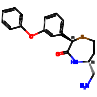 NC[C@H]1CCS[C@H](c2cccc(Oc3ccccc3)c2)C(=O)N1